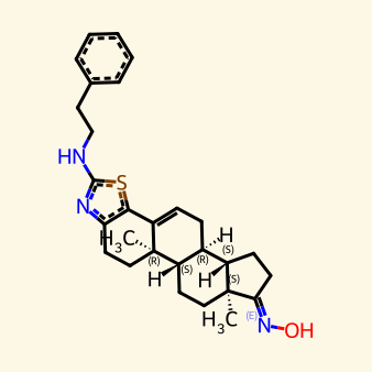 C[C@]12CCc3nc(NCCc4ccccc4)sc3C1=CC[C@@H]1[C@@H]2CC[C@]2(C)/C(=N/O)CC[C@@H]12